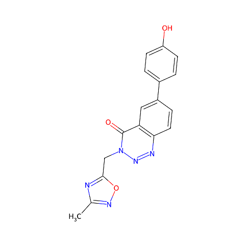 Cc1noc(Cn2nnc3ccc(-c4ccc(O)cc4)cc3c2=O)n1